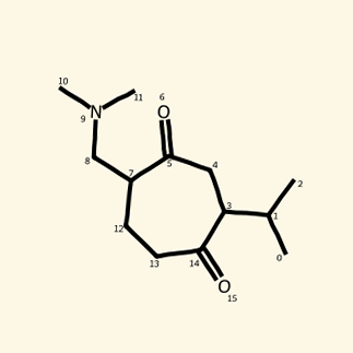 CC(C)C1CC(=O)C(CN(C)C)CCC1=O